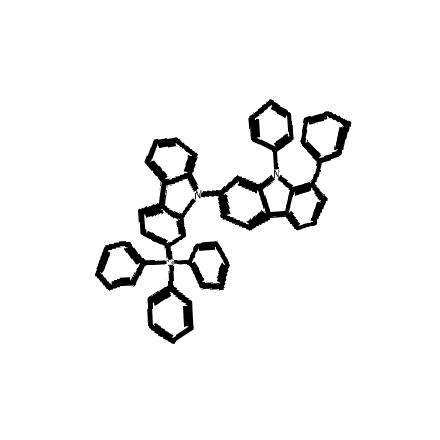 c1ccc(-c2cccc3c4ccc(-n5c6ccccc6c6ccc([Si](c7ccccc7)(c7ccccc7)c7ccccc7)cc65)cc4n(-c4ccccc4)c23)cc1